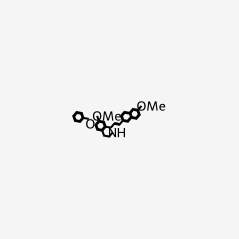 COc1ccc2cc(C=CC3NCCc4cc(OCc5ccccc5)c(OC)cc43)ccc2c1